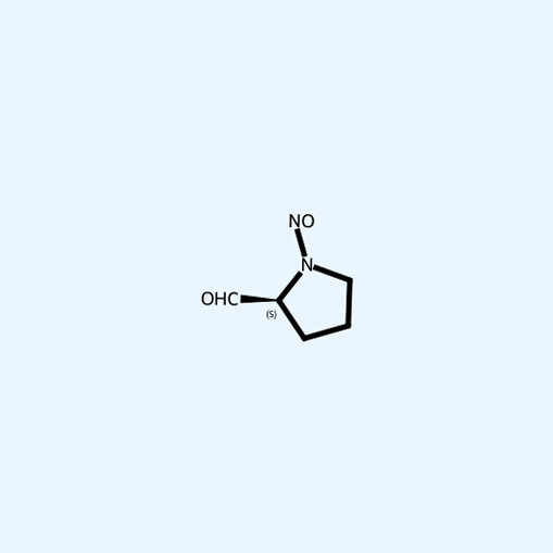 O=C[C@@H]1CCCN1N=O